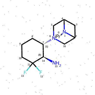 CC(C)N1C2CC1CN([C@H]1CCCC(F)(F)[C@@H]1N)C2